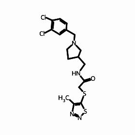 Cc1nnsc1SCC(=O)NCC1CCN(Cc2ccc(Cl)c(Cl)c2)C1